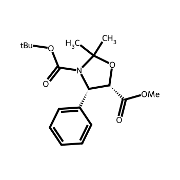 COC(=O)[C@H]1OC(C)(C)N(C(=O)OC(C)(C)C)[C@H]1c1ccccc1